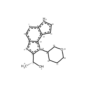 C[C@@H](O)c1nc2cnc3[nH]ccc3c2n1C1CCCOC1